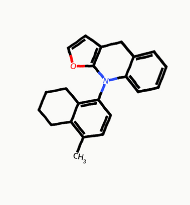 Cc1ccc(N2c3ccccc3Cc3ccoc32)c2c1CCCC2